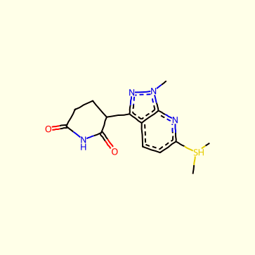 Cn1nc(C2CCC(=O)NC2=O)c2ccc([SH](C)C)nc21